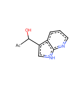 CC(=O)C(O)c1c[nH]c2ncccc12